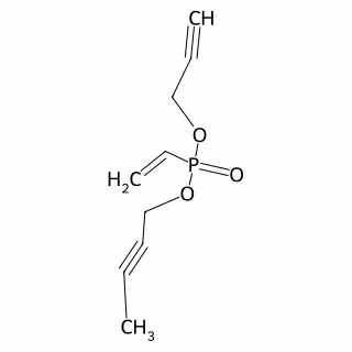 C#CCOP(=O)(C=C)OCC#CC